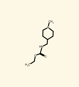 CCOC(=O)NCC1CCN(C)CC1